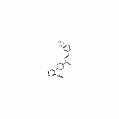 COc1cccc(C=CC(=O)N2CCN(c3ncccc3C#N)CC2)c1